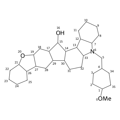 COC1CCC(CN2C3CCCCC3C3C4C(O)C5CC6OC7CCCCC7C6CC5C4CCC32)CC1